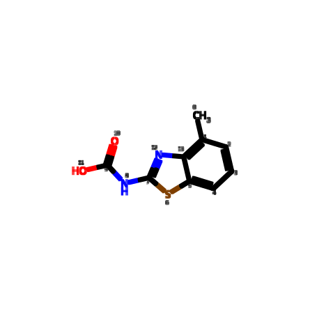 Cc1cccc2sc(NC(=O)O)nc12